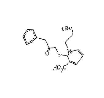 CC(C)(C)CCN1C=CC=C(C(=O)O)C1SCC(=O)Cc1ccccc1